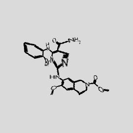 COC(=O)N1CCc2cc(OC)c(Nc3ncc(C(N)=O)c(Nc4ccccc4Br)n3)cc2C1